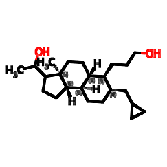 CC(O)C1CC[C@H]2[C@@H]3CC[C@H](CC4CC4)[C@H](CCCO)[C@H]3CC[C@]12C